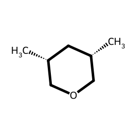 C[C@@H]1COC[C@H](C)C1